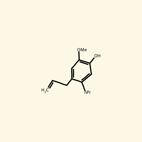 C=CCc1cc(OC)c(O)cc1CCC